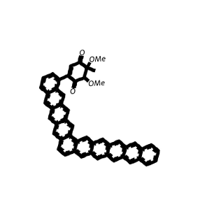 COC1C(=O)C(c2cccc3cc4cc5cc6ccc7cc8cc9cc%10cc%11ccccc%11cc%10cc9cc8cc7c6cc5cc4cc23)=CC(=O)C1(C)OC